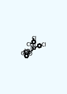 CS(=O)(=O)c1ccccc1S(=O)(=O)NCC1=NN(c2ccc(Cl)cc2Cl)C(c2ccc(Cl)cc2)C1